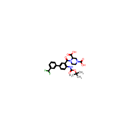 CC(C)(C)OC(=O)Nc1ccc(-c2cccc(C(F)F)c2)cc1C(=O)N1CCN(C(=O)O)CC1C(=O)O